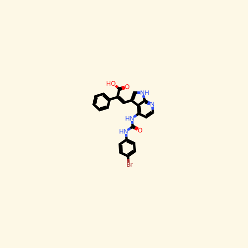 O=C(Nc1ccc(Br)cc1)Nc1ccnc2[nH]cc(C=C(C(=O)O)c3ccccc3)c12